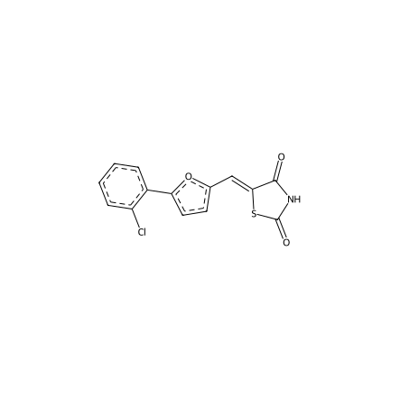 O=C1NC(=O)C(=Cc2ccc(-c3ccccc3Cl)o2)S1